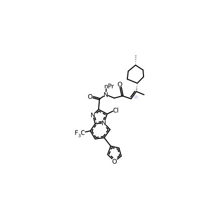 CCCN(CC(=O)/C=C(/C)[C@H]1CC[C@@H](C)CC1)C(=O)c1nc2c(C(F)(F)F)cc(-c3ccoc3)cn2c1Cl